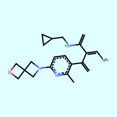 C=C(NCC1CC1)/C(=C/CCC)C(=C)c1ccc(N2CC3(COC3)C2)nc1C